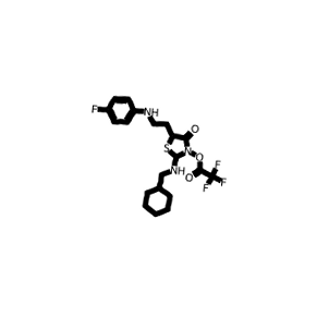 O=C1C(CCNc2ccc(F)cc2)SC(NCC2CCCCC2)N1OC(=O)C(F)(F)F